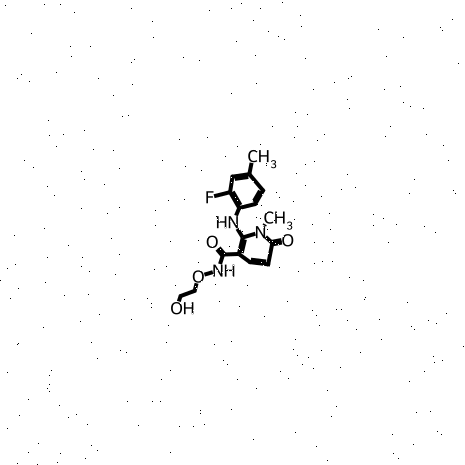 Cc1ccc(Nc2c(C(=O)NOCCO)ccc(=O)n2C)c(F)c1